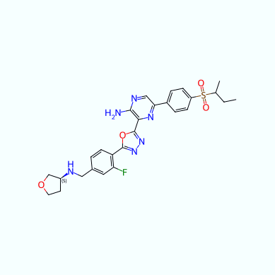 CCC(C)S(=O)(=O)c1ccc(-c2cnc(N)c(-c3nnc(-c4ccc(CN[C@H]5CCOC5)cc4F)o3)n2)cc1